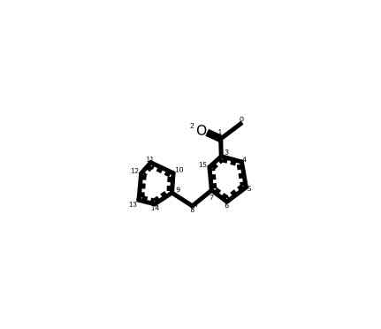 CC(=O)c1cccc([CH]c2ccccc2)c1